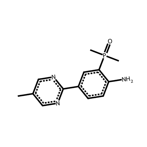 Cc1cnc(-c2ccc(N)c(P(C)(C)=O)c2)nc1